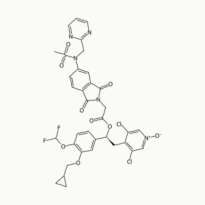 CS(=O)(=O)N(Cc1ncccn1)c1ccc2c(c1)C(=O)N(CC(=O)O[C@@H](Cc1c(Cl)c[n+]([O-])cc1Cl)c1ccc(OC(F)F)c(OCC3CC3)c1)C2=O